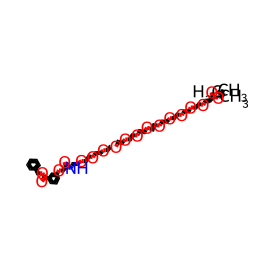 CC(C)(C)OC(=O)CCOCCOCCOCCOCCOCCOCCOCCOCCOCCOCCOCCOCCNC(=O)COc1cccc(C(=O)OCc2ccccc2)c1